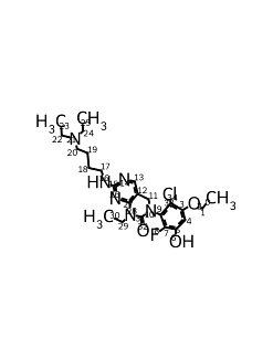 CCOc1cc(O)c(F)c(N2Cc3cnc(NCCCCN(CC)CC)nc3N(CC)C2=O)c1Cl